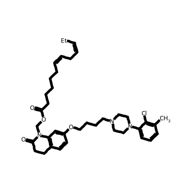 CC/C=C\C/C=C\CCCCCC(=O)OCN1C(=O)CCc2ccc(OCCCCN3CCN(c4cccc(C)c4Cl)CC3)cc21